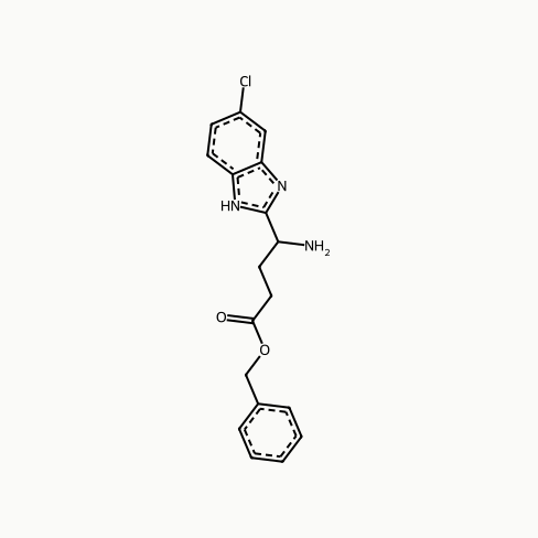 NC(CCC(=O)OCc1ccccc1)c1nc2cc(Cl)ccc2[nH]1